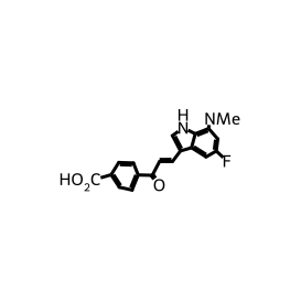 CNc1cc(F)cc2c(/C=C/C(=O)c3ccc(C(=O)O)cc3)c[nH]c12